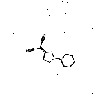 N#CC(C#N)=C1CCN(C2CCCCC2)C1